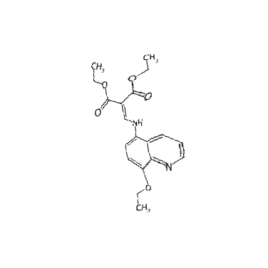 CCOC(=O)C(=CNc1ccc(OCC)c2ncccc12)C(=O)OCC